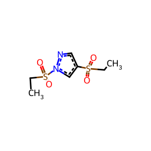 CCS(=O)(=O)c1cnn(S(=O)(=O)CC)c1